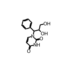 O=c1ccn([C](c2ccccc2)C(O)CO)c(=O)[nH]1